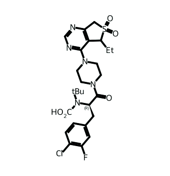 CCC1c2c(ncnc2N2CCN(C(=O)[C@@H](Cc3ccc(Cl)c(F)c3)N(C(=O)O)C(C)(C)C)CC2)CS1(=O)=O